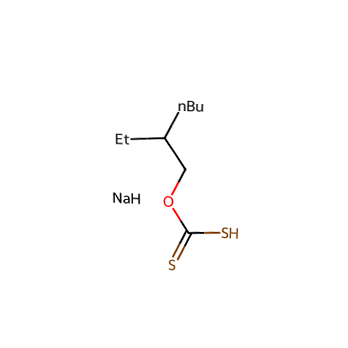 CCCCC(CC)COC(=S)S.[NaH]